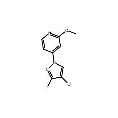 COc1cc(-n2cc(Cl)c(I)n2)ccn1